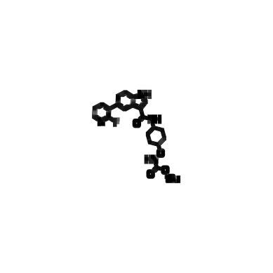 CC(C)(C)OC(=O)NOC1CCC(NC(=O)c2c[nH]c3ccc(-c4cccnc4F)cc23)CC1